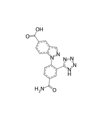 NC(=O)c1ccc(-n2ncc3cc(C(=O)O)ccc32)c(-c2nnn[nH]2)c1